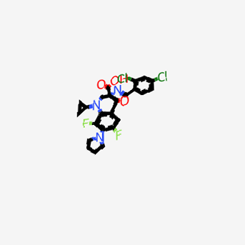 O=C(O)C1(N=Cc2ccc(Cl)cc2Cl)CN(C2CC2)c2c(cc(F)c(N3CCCC3)c2F)C1=O